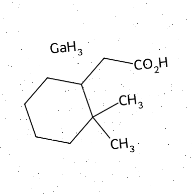 CC1(C)CCCCC1CC(=O)O.[GaH3]